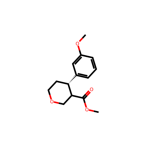 COC(=O)C1COCC[C@@H]1c1cccc(OC)c1